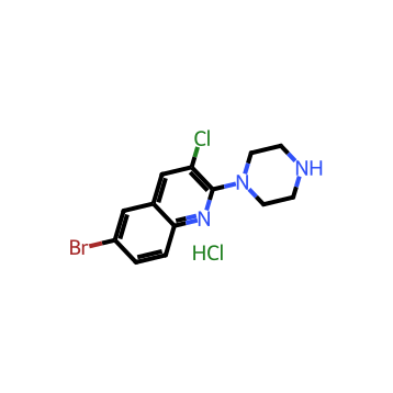 Cl.Clc1cc2cc(Br)ccc2nc1N1CCNCC1